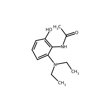 CCN(CC)c1cccc(O)c1NC(C)=O